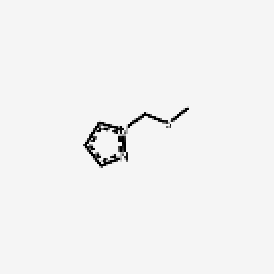 CSCn1cccn1